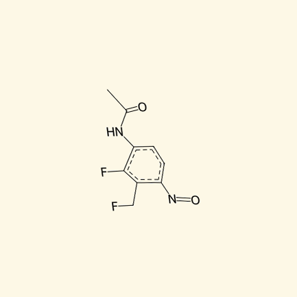 CC(=O)Nc1ccc(N=O)c(CF)c1F